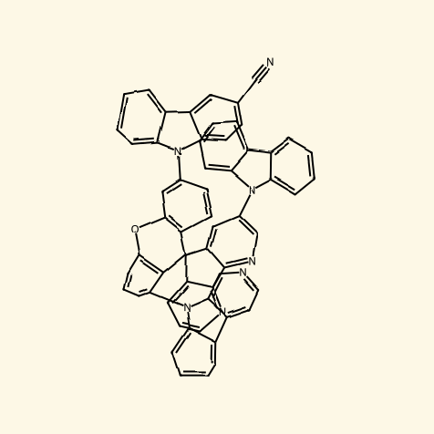 N#Cc1ccc2c(c1)c1ccccc1n2-c1ccc2c(c1)Oc1cccc(-n3c4ccccc4c4ccncc43)c1C21c2cccnc2-c2ncc(-n3c4ccccc4c4ccccc43)cc21